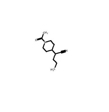 CCCC(C#N)C1CCN(C(C)=O)CC1